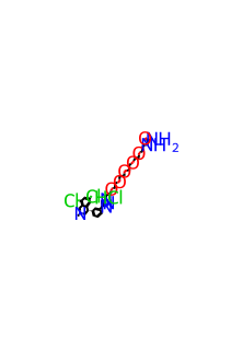 CN1Cc2c(Cl)cc(Cl)cc2[C@H](c2cccc(-c3cn(CCOCCOCCOCCOCCOCCNC(N)=O)nn3)c2)C1.Cl